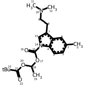 Cc1ccc2c(c1)c(CCN(C)C)cn2C(=O)OC(C)OC(=O)C(C)(C)C